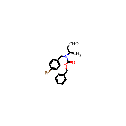 CC(CC=O)N(Cc1ccc(Br)cc1)C(=O)OCc1ccccc1